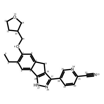 CCc1cc2c(cc1OCC1CCOC1)Cc1c(-c3ccc(C#N)nc3)n[nH]c1-2